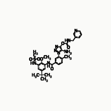 COc1c(NC(=O)c2ccc(C)c(-n3nnc(OC(=O)NCc4cccnc4)c3N)c2)cc(C(C)(C)C)cc1NS(C)(=O)=O